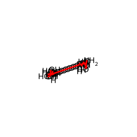 CN[C@@H](CCC(=O)NCCOCCOCCOCCOCCOCCOCCOCCOCCOCCOCCOCCOCCC(=O)NCCN(C[C@H](O)[C@@H](O)[C@H](O)[C@H](O)CO)C[C@H](O)[C@@H](O)[C@H](O)[C@H](O)CO)C(=O)N[C@H](C(=O)N[C@@H](CCCNC(N)=O)C(=O)Nc1ccc(CO)cc1)C(C)C